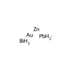 [Au].[BiH3].[PbH2].[Zn]